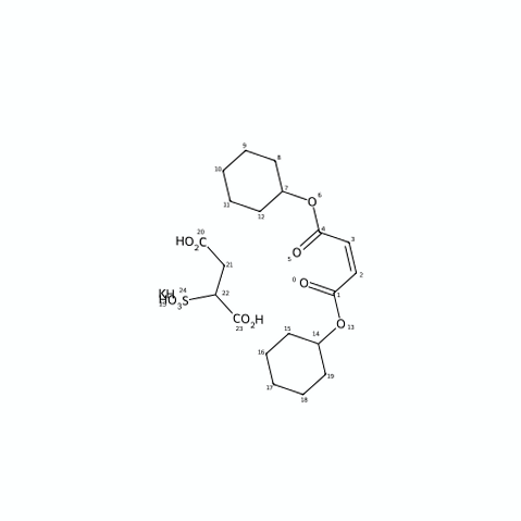 O=C(/C=C\C(=O)OC1CCCCC1)OC1CCCCC1.O=C(O)CC(C(=O)O)S(=O)(=O)O.[KH]